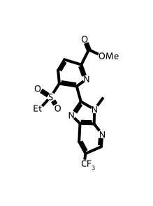 CCS(=O)(=O)c1ccc(C(=O)OC)nc1-c1nc2cc(C(F)(F)F)cnc2n1C